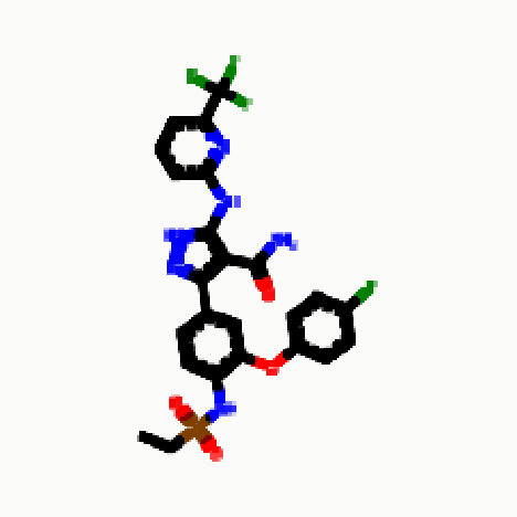 CCS(=O)(=O)Nc1ccc(-c2n[nH]c(Nc3cccc(C(F)(F)F)n3)c2C(N)=O)cc1Oc1ccc(F)cc1